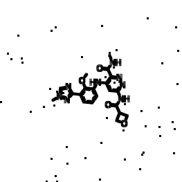 CNC(=O)c1nnc(NC(=O)C2COC2)cc1Nc1cccc(-c2ncn(C)n2)c1OC